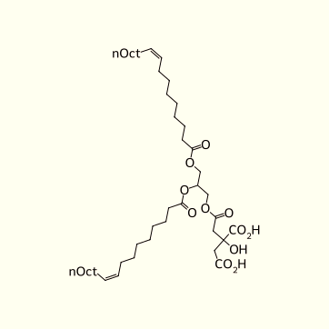 CCCCCCCC/C=C\CCCCCCCC(=O)OCC(COC(=O)CC(O)(CC(=O)O)C(=O)O)OC(=O)CCCCCCC/C=C\CCCCCCCC